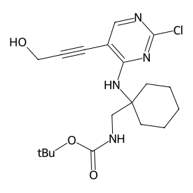 CC(C)(C)OC(=O)NCC1(Nc2nc(Cl)ncc2C#CCO)CCCCC1